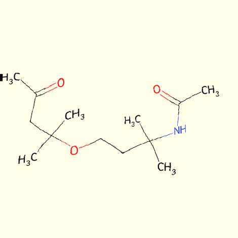 CC(=O)CC(C)(C)OCCC(C)(C)NC(C)=O